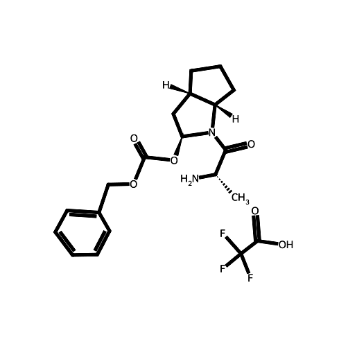 C[C@H](N)C(=O)N1[C@@H](OC(=O)OCc2ccccc2)C[C@@H]2CCC[C@@H]21.O=C(O)C(F)(F)F